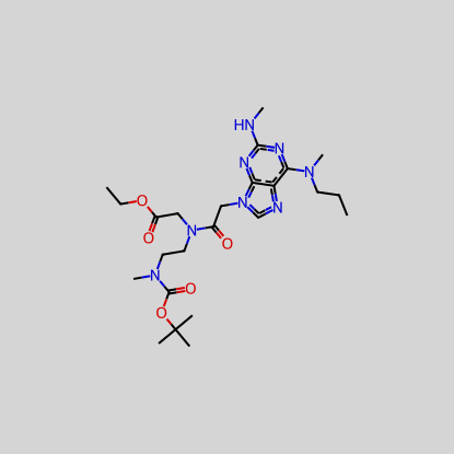 CCCN(C)c1nc(NC)nc2c1ncn2CC(=O)N(CCN(C)C(=O)OC(C)(C)C)CC(=O)OCC